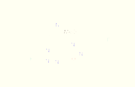 COc1ccc(F)cc1-c1noc(-c2nnn(-c3ccccc3F)c2-c2ccncc2)n1